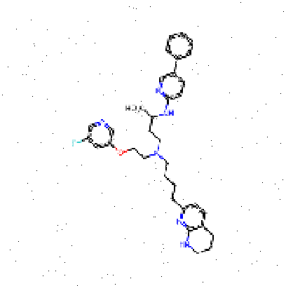 O=C(O)C(CCN(CCCCc1ccc2c(n1)NCCC2)CCOc1cncc(F)c1)Nc1ccc(-c2ccccc2)cn1